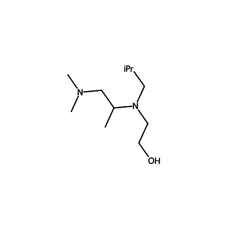 CC(C)CN(CCO)C(C)CN(C)C